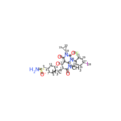 Cc1c(Oc2cccc(C[S+](N)[O-])c2)c2c(=O)n(C3CC3)c(=O)n(-c3ccc(I)cc3F)c2n(C)c1=O